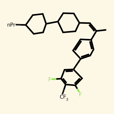 CCCC1CCC(C2CCC(C=C(C)c3ccc(-c4cc(F)c(C(F)(F)F)c(F)c4)cc3)CC2)CC1